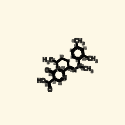 Cc1ccc(N(C)N=C2CCC(C)n3c2ncc(C(=O)O)c3=O)c(C)c1